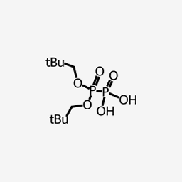 CC(C)(C)COP(=O)(OCC(C)(C)C)P(=O)(O)O